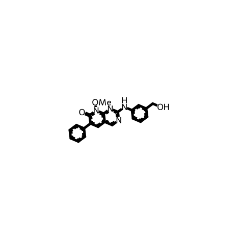 COn1c(=O)c(-c2ccccc2)cc2cnc(Nc3cccc(CO)c3)nc21